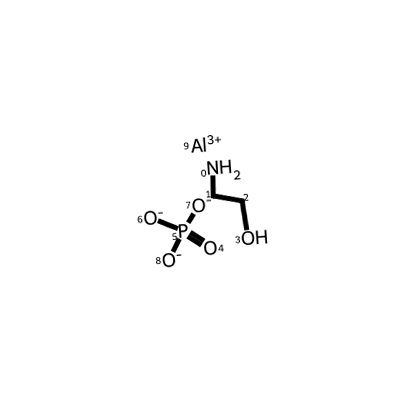 NCCO.O=P([O-])([O-])[O-].[Al+3]